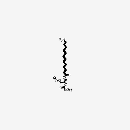 CCCCCCCCC(=O)O[C@@H](COP=O)COC(=O)CCCCCCCCCCCCN